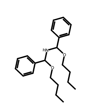 CCCCOC(NC(OCCCC)c1ccccc1)c1ccccc1